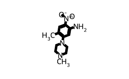 Cc1cc([N+](=O)[O-])c(N)cc1N1CCN(C)CC1